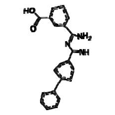 N=C(/N=C(\N)c1cccc(C(=O)O)c1)c1ccc(-c2ccccc2)cc1